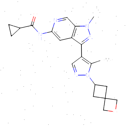 COc1c(-c2nn(C)c3cnc(NC(=O)C4CC4)cc23)cnn1C1CC2(COC2)C1